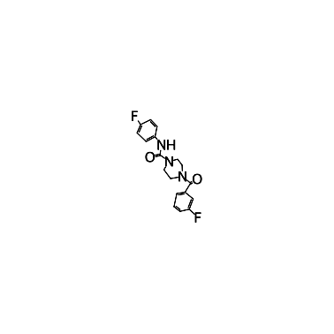 O=C(Nc1ccc(F)cc1)N1CCN(C(=O)c2cccc(F)c2)CC1